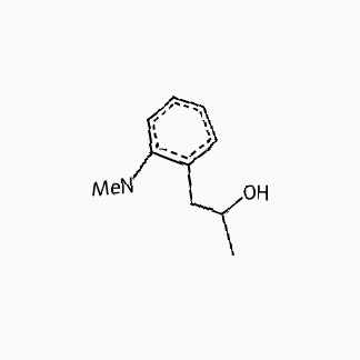 CNc1ccccc1CC(C)O